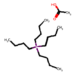 CC(=O)O.CCCC[P](CCCC)(CCCC)CCCC